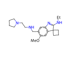 CCNC1=Nc2cc(CNCCN3CCCC3)c(OC)cc2C12CCC2